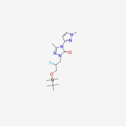 Cc1nn(C[C@H](F)CO[Si](C)(C)C(C)(C)C)c(=O)n1-c1ccn(C)n1